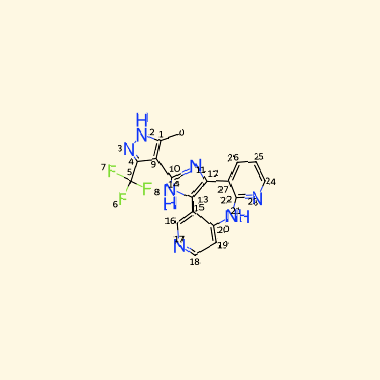 Cc1[nH]nc(C(F)(F)F)c1-c1nc2c([nH]1)-c1cnccc1Nc1ncccc1-2